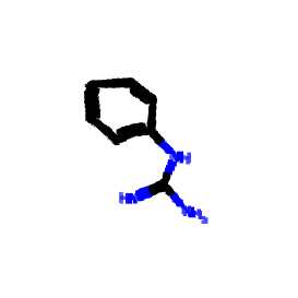 N=C(N)Nc1cc[c]cc1